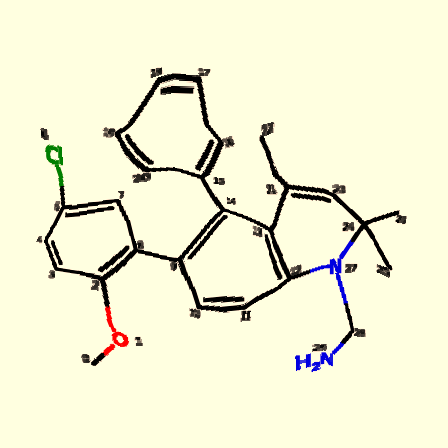 COc1ccc(Cl)cc1-c1ccc2c(c1-c1ccccc1)C(C)=CC(C)(C)N2CN